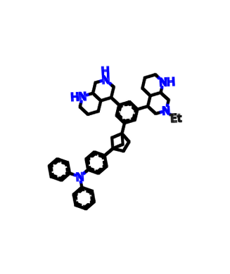 CCN1CC2NCCCC2C(c2cc(C3CNCC4NCCCC43)cc(C34CCC(c5ccc(N(c6ccccc6)c6ccccc6)cc5)(C3)C4)c2)C1